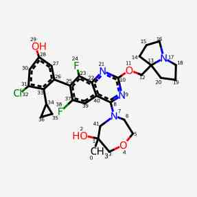 CC1(O)COCCN(c2nc(OCC34CCCN3CCC4)nc3c(F)c(-c4cc(O)cc(Cl)c4C4CC4)c(F)cc23)C1